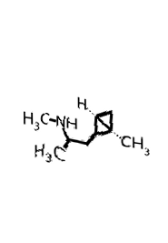 CNC(C)CC1[C@H]2C[C@@]12C